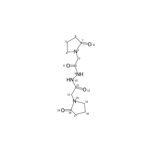 O=C(CN1CCCC1=O)NNC(=O)CN1CCCC1=O